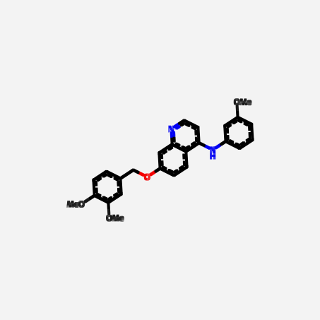 COc1cccc(Nc2ccnc3cc(OCc4ccc(OC)c(OC)c4)ccc23)c1